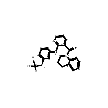 O=C(c1cccnc1Oc1cccc(OC(F)(F)F)c1)N1CCCc2ccccc21